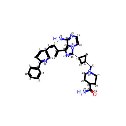 C=C(/C=C\c1ccc(-c2ccccc2)nc1)c1nc([C@H]2C[C@@H](CN3CCC(C(N)=O)CC3)C2)n2ccnc(N)c12